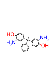 CC(c1ccccc1)(c1ccc(O)c(N)c1)c1ccc(O)c(N)c1